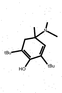 CN(C)C1(C)C=C(C(C)(C)C)C(O)=C(C(C)(C)C)C1